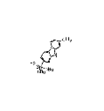 CCC[CH2][Sn]([CH2]CCC)([CH2]CCC)[c]1ccc2c(c1)nc1cc(C)ccn12